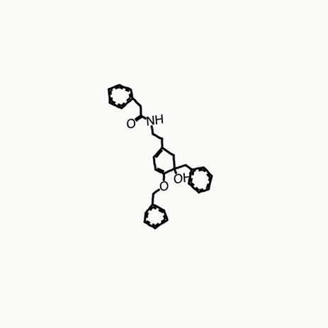 O=C(Cc1ccccc1)NCCC1=CC=C(OCc2ccccc2)C(O)(Cc2ccccc2)C1